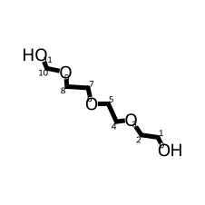 OCCOCCOCCOCO